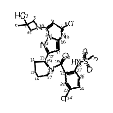 CC1(O)CN(c2cc(Cl)nc3cc([C@@H]4CCCCN4C(=O)c4cc(Cl)ccc4NS(C)(=O)=O)nn23)C1